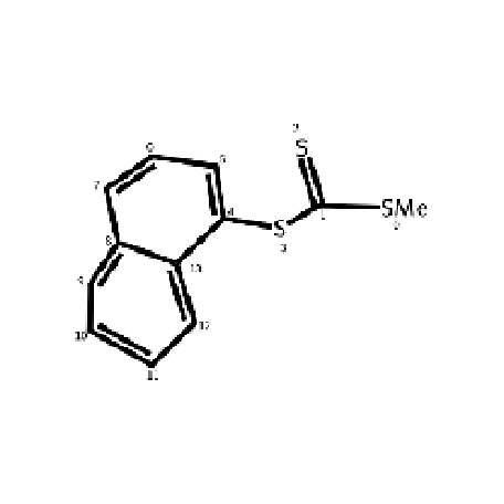 CSC(=S)Sc1cccc2ccccc12